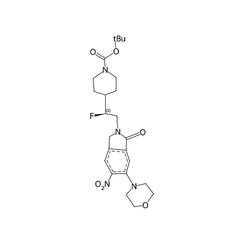 CC(C)(C)OC(=O)N1CCC([C@H](F)CN2Cc3cc([N+](=O)[O-])c(N4CCOCC4)cc3C2=O)CC1